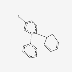 Ic1ccc(C2C=CC=CC2)c(-c2ccccc2)c1